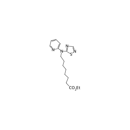 CCOC(=O)CCCCCCCN(c1ccccn1)c1ncns1